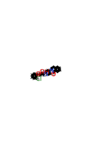 O=C1c2ccccc2CCN1C1CCN(CC(O)COc2ccccc2Cl)CC1